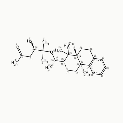 CC(=O)C[C@@H](S)C(C)(C)O[C@@H](P)[C@H]1CC[C@]2(C)c3ccccc3CC[C@H]2C1(C)C